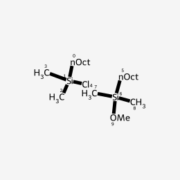 CCCCCCCC[Si](C)(C)Cl.CCCCCCCC[Si](C)(C)OC